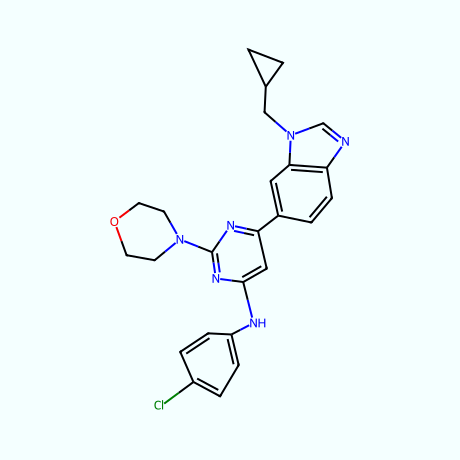 Clc1ccc(Nc2cc(-c3ccc4ncn(CC5CC5)c4c3)nc(N3CCOCC3)n2)cc1